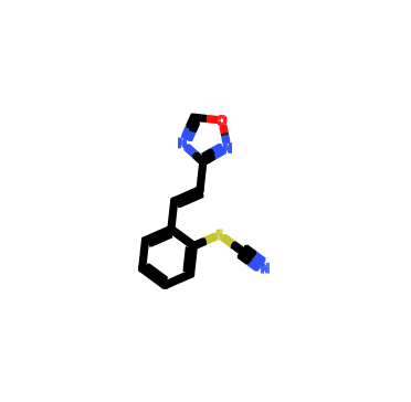 N#CSc1ccccc1/C=C/c1ncon1